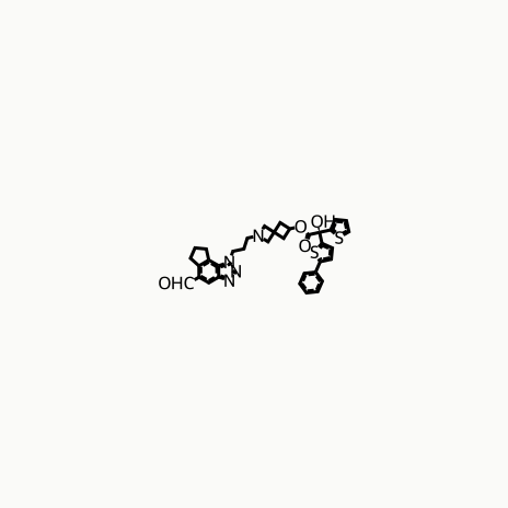 O=Cc1cc2nnn(CCCN3CC4(CC(OC(=O)[C@@](O)(c5cccs5)c5ccc(-c6ccccc6)s5)C4)C3)c2c2c1CCC2